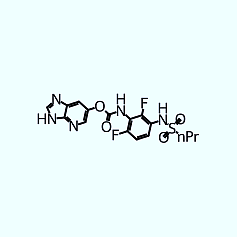 CCCS(=O)(=O)Nc1ccc(F)c(NC(=O)Oc2cnc3[nH]cnc3c2)c1F